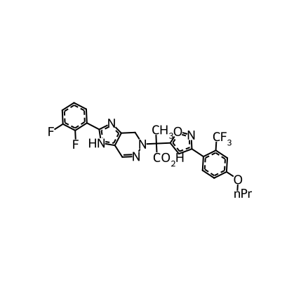 CCCOc1ccc(-c2cc(C(C)(C(=O)O)N3Cc4nc(-c5cccc(F)c5F)[nH]c4C=N3)on2)c(C(F)(F)F)c1